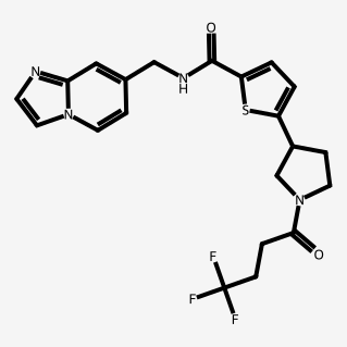 O=C(NCc1ccn2ccnc2c1)c1ccc(C2CCN(C(=O)CCC(F)(F)F)C2)s1